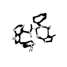 CC1=C2C(=O)N(c3ccccc3)[C@@H](C(C)Nc3ncnc4[nH]cc(-c5cn[nH]c5)c34)N=C2N=C1